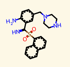 N=C(c1cc(CN2CCNCC2)ccc1N)S(=O)(=O)c1cccc2ccccc12